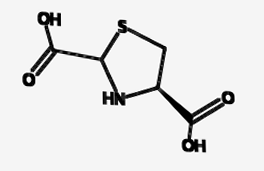 O=C(O)C1N[C@H](C(=O)O)CS1